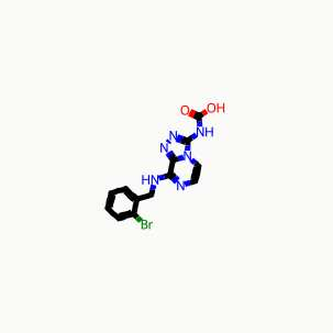 O=C(O)Nc1nnc2c(NCc3ccccc3Br)nccn12